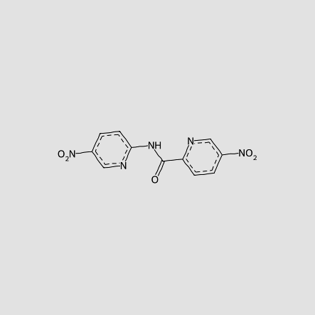 O=C(Nc1ccc([N+](=O)[O-])cn1)c1ccc([N+](=O)[O-])cn1